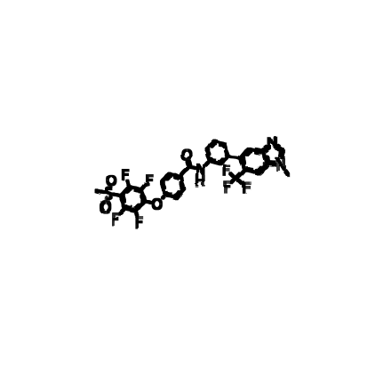 Cn1cnc2cc(-c3cccc(NC(=O)c4ccc(Oc5c(F)c(F)c(S(C)(=O)=O)c(F)c5F)cc4)c3)c(C(F)(F)F)cc21